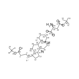 C[C@H](CCC(=O)OC(C)(C)C)C1CCC2[C@@H]3CC[C@@H]4C[C@@H](OC(=O)[C@@H](N)CC(=O)OC(C)(C)C)CC[C@]4(C)C3CC[C@@]21C